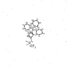 Cc1nc(CC(C)(C)C(F)(F)F)cn1C(c1ccccc1)(c1ccccc1)c1ccccc1